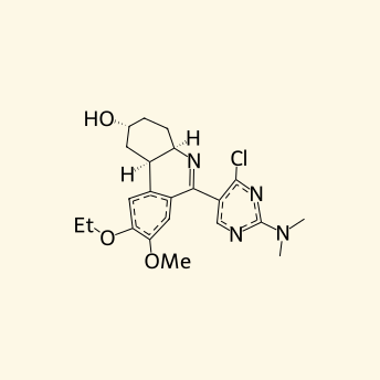 CCOc1cc2c(cc1OC)C(c1cnc(N(C)C)nc1Cl)=N[C@@H]1CC[C@@H](O)C[C@H]21